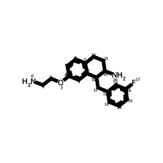 NCCOc1ccc2c(c1)C(Cc1cccc(F)c1)C(N)CC2